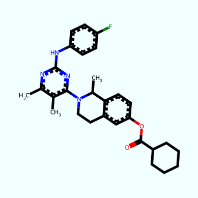 Cc1nc(Nc2ccc(F)cc2)nc(N2CCc3cc(OC(=O)C4CCCCC4)ccc3C2C)c1C